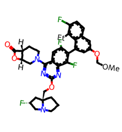 CCc1c(F)ccc2cc(OCOC)cc(-c3c(F)cc4c(N5CC[C@H]6C(=O)O[C@H]6C5)nc(OC[C@@]56CCCN5C[C@H](F)C6)nc4c3F)c12